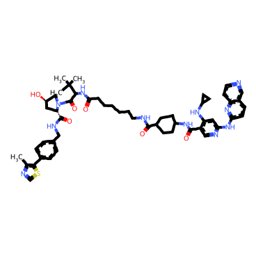 Cc1ncsc1-c1ccc(CNC(=O)[C@@H]2C[C@@H](O)CN2C(=O)C(NC(=O)CCCCCCNC(=O)C2CCC(NC(=O)c3cnc(Nc4ccc5cnccc5n4)cc3NC3CC3)CC2)C(C)(C)C)cc1